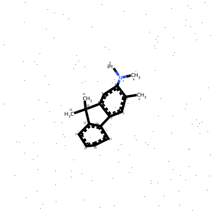 Cc1cc2c(cc1N(C)C(C)C)C(C)(C)c1ccccc1-2